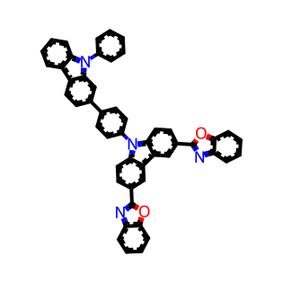 c1ccc(-n2c3ccccc3c3ccc(-c4ccc(-n5c6ccc(-c7nc8ccccc8o7)cc6c6cc(-c7nc8ccccc8o7)ccc65)cc4)cc32)cc1